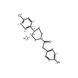 CC(C)c1ccc(CC(=O)N2CCN(c3ccc(Cl)nn3)[C@@H](C)C2)cc1